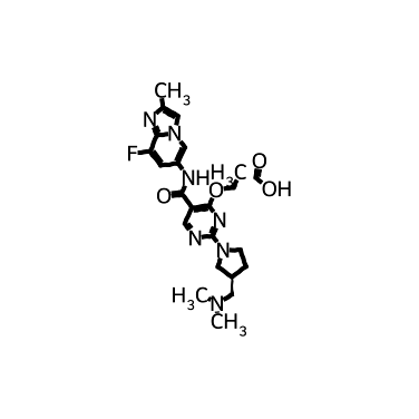 CCOc1nc(N2CC[C@@H](CN(C)C)C2)ncc1C(=O)Nc1cc(F)c2nc(C)cn2c1.O=CO